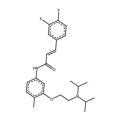 Cc1ccc(NC(=O)/C=C/c2ccc(F)c(F)c2)cc1OCCN(C(C)C)C(C)C